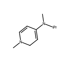 CC(C)N(C)C1=CCN(C)C=C1